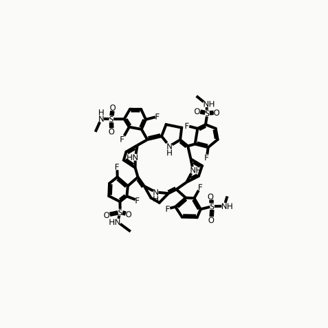 CNS(=O)(=O)c1ccc(F)c(C2=C3CCC(=C(c4c(F)ccc(S(=O)(=O)NC)c4F)c4ccc([nH]4)C(c4c(F)ccc(S(=O)(=O)NC)c4F)=C4CCC(=C(c5c(F)ccc(S(=O)(=O)NC)c5F)c5ccc2[nH]5)N4)N3)c1F